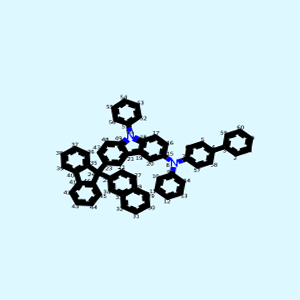 c1ccc(-c2ccc(N(c3ccccc3)c3ccc4c(c3)c3cc(C5(c6ccc7ccccc7c6)c6ccccc6-c6ccccc65)ccc3n4-c3ccccc3)cc2)cc1